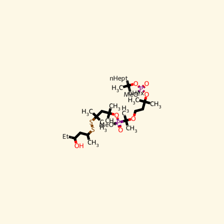 CCCCCCCC(C)(CCCCCC)OP(=O)(OC)OC(C)(C)CCOC(C)(C)P(=O)(OC)OC(C)(C)CC(C)(C)SSC(C)CC(O)CC